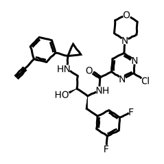 C#Cc1cccc(C2(NC[C@H](O)[C@H](Cc3cc(F)cc(F)c3)NC(=O)c3cc(N4CCOCC4)nc(Cl)n3)CC2)c1